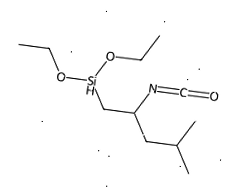 CCO[SiH](CC(CC(C)C)N=C=O)OCC